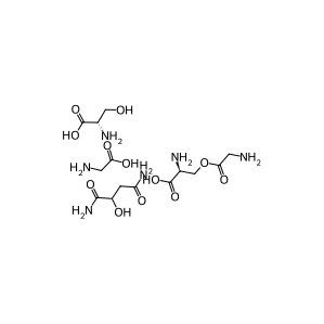 NC(=O)CC(O)C(N)=O.NCC(=O)O.NCC(=O)OC[C@H](N)C(=O)O.N[C@@H](CO)C(=O)O